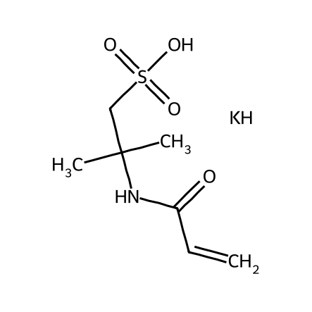 C=CC(=O)NC(C)(C)CS(=O)(=O)O.[KH]